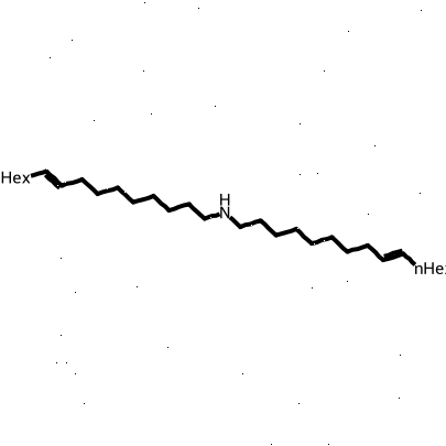 CCCCCCC=CCCCCCCCCNCCCCCCCCC=CCCCCCC